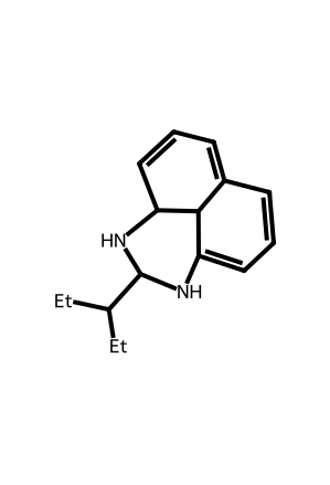 CCC(CC)C1NC2=CC=CC3=CC=CC(N1)C32